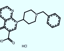 Cl.O=C(O)c1cn(C2CCN(Cc3ccccc3)CC2)c2ncccc2c1=O